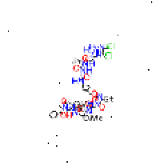 CCC(C)C(C(CC(=O)N1CCCC1C(OC)[C@@H](C)C(=O)NC(C)C(O)c1ccccc1)OC)N(C)C(=O)CNC(=O)C(CC)N(C)C(=O)OCc1ccc(NC(=O)CNC(=O)C(NC(=O)CCCN(N)/C(CCl)=C(\N)CCl)C(C)C)cc1